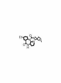 CCc1ccc2c(c1)C(=O)Nc1cccnc1N2C(=O)N1CC2(CCN(C)C2)C1